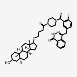 C[C@]12CCC(O)C[C@@H]1CC[C@@H]1[C@@H]2CC[C@]2(C)[C@@H](OCCCC(=O)N3CCN(C(=O)c4cc(Cc5n[nH]c(=O)c6ccccc56)ccc4F)CC3)CC[C@@H]12